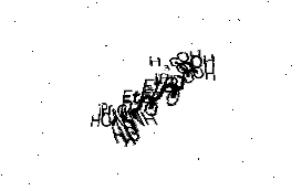 CCC(CC(=O)NC(CO)C(=O)NC(CO)CC(C)C)OC(=O)CC(CC)OC(=O)CC(CC(C)C)OC1OC(C)C(O)C(O)C1O